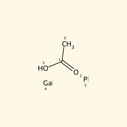 CC(=O)O.[Ga].[P]